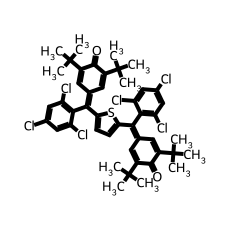 CC(C)(C)C1=CC(=C(c2ccc(C(=C3C=C(C(C)(C)C)C(=O)C(C(C)(C)C)=C3)c3c(Cl)cc(Cl)cc3Cl)s2)c2c(Cl)cc(Cl)cc2Cl)C=C(C(C)(C)C)C1=O